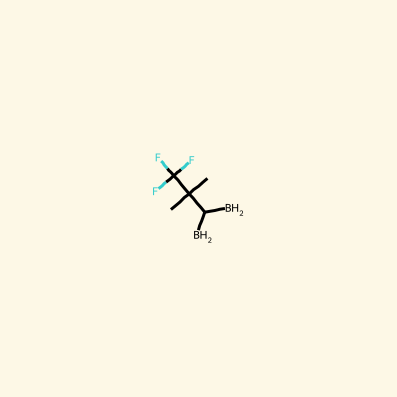 BC(B)C(C)(C)C(F)(F)F